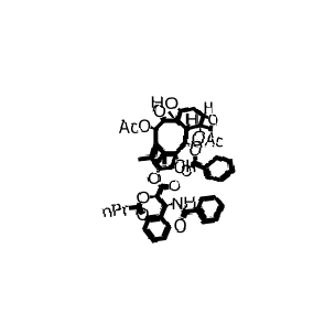 CCCC(=O)O[C@@H](C(=O)O[C@H]1C[C@@]2(O)[C@@H](OC(=O)C3=CC=CCC3)[C@@H]3[C@]4(OC(C)=O)CO[C@@H]4C[C@H](O)[C@@]3(C)C(=O)[C@H](OC(C)=O)C(=C1C)C2(C)C)[C@@H](NC(=O)c1ccccc1)c1ccccc1